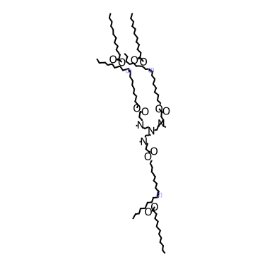 CCCCCCCCCCCC(=O)OC(C/C=C\CCCCCCCCOC(=O)CCN(C)CCN(CCN(C)CCC(=O)OCCCCCCCC/C=C\CC(CCCCCC)OC(=O)CCCCCCCCCCC)CCN(C)CCC(=O)OCCCCCCCC/C=C\CC(CCCCCC)OC(=O)CCCCCCCCCCC)CCCCCC